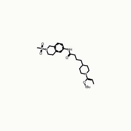 C/C=C(\OC(C)(C)C)N1CCC(CCCC(=O)Nc2ccc3c(c2)CCN(S(C)(=O)=O)C3)CC1